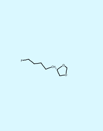 C1COCO1.CCCCCF